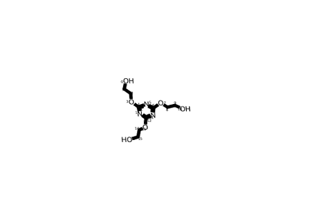 OCCOc1nc(OCCO)nc(OCCO)n1